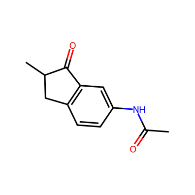 CC(=O)Nc1ccc2c(c1)C(=O)C(C)C2